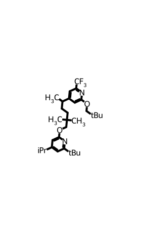 CC(C)c1cc(OCC(C)(C)CCC(C)c2cc(OCC(C)(C)C)nc(C(F)(F)F)c2)nc(C(C)(C)C)c1